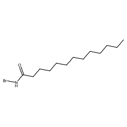 CCCCCCCCCCCCC(=O)NBr